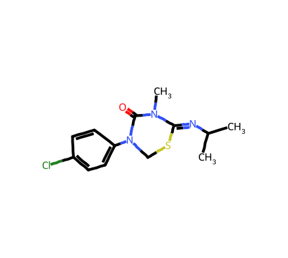 CC(C)/N=C1\SCN(c2ccc(Cl)cc2)C(=O)N1C